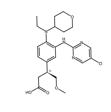 CCN(c1ccc([C@@H](COC)CC(=O)O)cc1Nc1ncc(Cl)cn1)C1CCOCC1